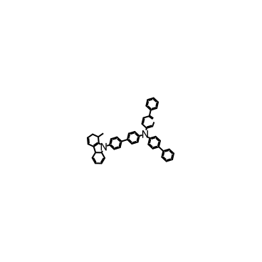 C=C(/C=C\C(=C/C)N(c1ccc(-c2ccccc2)cc1)c1ccc(-c2ccc(N3C4=C(C=CCC4C)C4C=CC=CC43)cc2)cc1)c1ccccc1